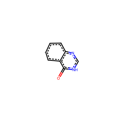 O=c1[nH]cnc2cc[c]cc12